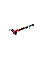 C=NOCC(=O)NCCOCCOCCOCCOCCOCCNC(=O)c1ccc2c(c1)[C@H](Nc1ccc(Cl)cc1)C[C@H](C)N2C(C)=O